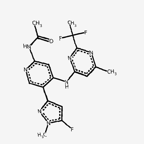 CC(=O)Nc1cc(Nc2cc(C)nc(C(C)(F)F)n2)c(-c2cc(F)n(C)n2)cn1